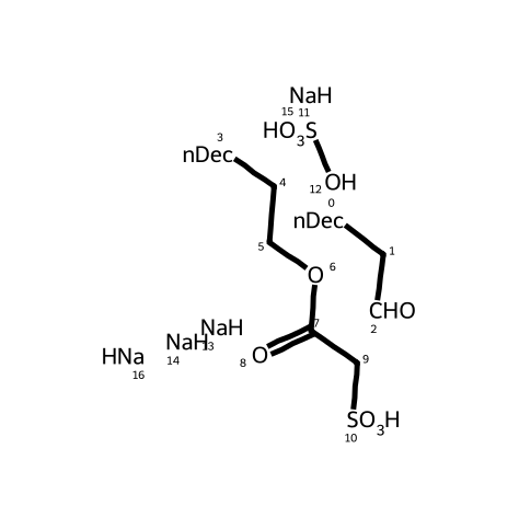 CCCCCCCCCCCC=O.CCCCCCCCCCCCOC(=O)CS(=O)(=O)O.O=S(=O)(O)O.[NaH].[NaH].[NaH].[NaH]